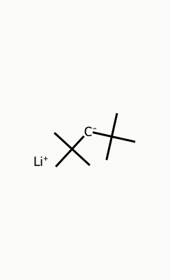 CC(C)(C)[CH-]C(C)(C)C.[Li+]